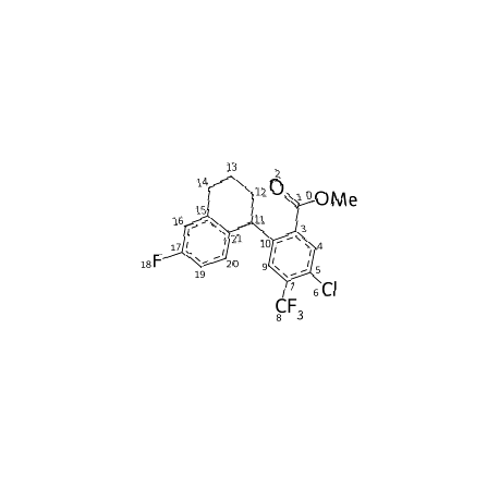 COC(=O)c1cc(Cl)c(C(F)(F)F)cc1C1CCCc2cc(F)ccc21